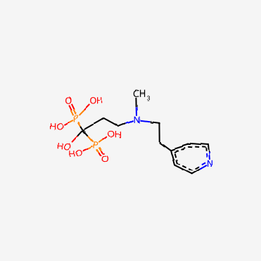 CN(CCc1ccncc1)CCC(O)(P(=O)(O)O)P(=O)(O)O